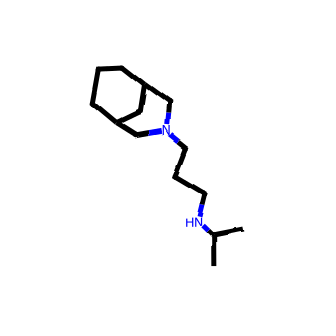 CC(C)NCCCN1CC2CCCC(C2)C1